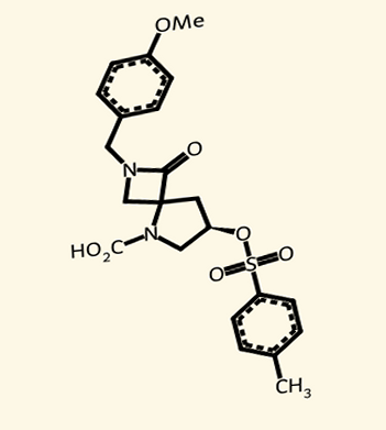 COc1ccc(CN2CC3(C[C@@H](OS(=O)(=O)c4ccc(C)cc4)CN3C(=O)O)C2=O)cc1